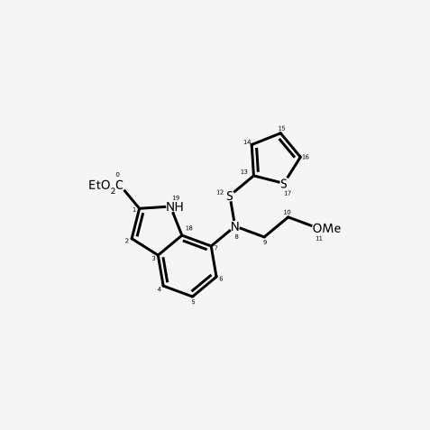 CCOC(=O)c1cc2cccc(N(CCOC)Sc3cccs3)c2[nH]1